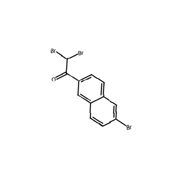 O=C(c1ccc2cc(Br)ccc2c1)C(Br)Br